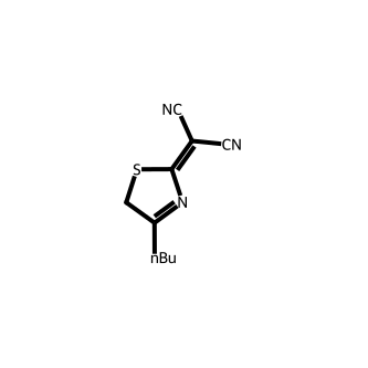 CCCCC1=NC(=C(C#N)C#N)SC1